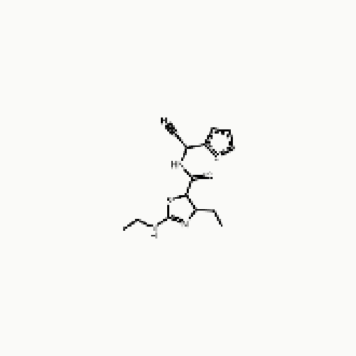 CCNC1=NC(CC)C(C(=O)NC(C#N)c2cccs2)S1